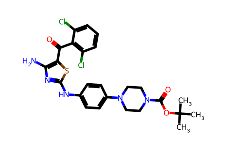 CC(C)(C)OC(=O)N1CCN(c2ccc(Nc3nc(N)c(C(=O)c4c(Cl)cccc4Cl)s3)cc2)CC1